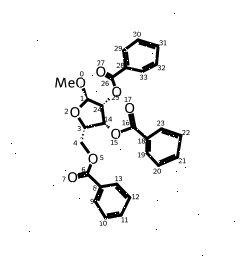 CO[C@@H]1O[C@@H](COC(=O)c2ccccc2)[C@@H](OC(=O)c2ccccc2)[C@H]1OC(=O)c1ccccc1